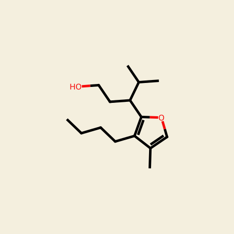 CCCCc1c(C)coc1C(CCO)C(C)C